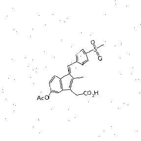 CC(=O)Oc1ccc2c(c1)C(CC(=O)O)=C(C)C2=Cc1ccc(S(C)(=O)=O)cc1